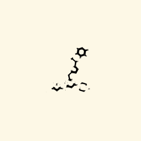 C#CC(Oc1c(F)c(F)cc(F)c1F)c1ccc(Cc2nc(Nc3cc(C)n[nH]3)cc(N3CCN(C)CC3)n2)o1